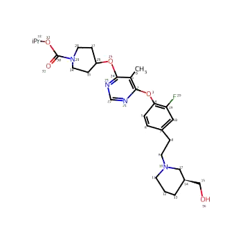 Cc1c(Oc2ccc(CCN3CCC[C@H](CO)C3)cc2F)ncnc1OC1CCN(C(=O)OC(C)C)CC1